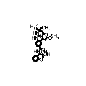 CCC1(CC)CC(=O)N(C(CCOC)c2cccc(C(=O)NC3c4ccccc4OCC3(C)O)c2)C(=N)N1